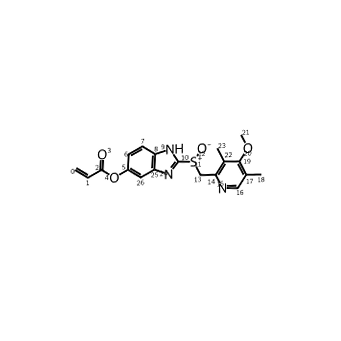 C=CC(=O)Oc1ccc2[nH]c([S+]([O-])Cc3ncc(C)c(OC)c3C)nc2c1